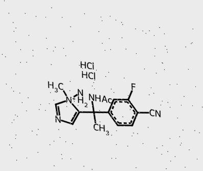 CC(=O)NC(C)(C1=CN=C[N+]1(C)N)c1ccc(C#N)c(F)c1.Cl.Cl